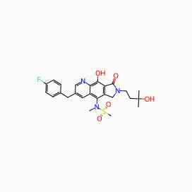 CN(c1c2c(c(O)c3ncc(Cc4ccc(F)cc4)cc13)C(=O)N(CCC(C)(C)O)C2)S(C)(=O)=O